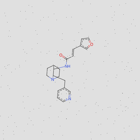 O=C(C=Cc1ccoc1)NC1C2CCN(CC2)C1Cc1cccnc1